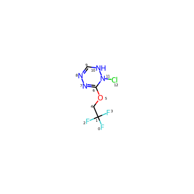 FC(F)(F)COC1=NN=CNN1Cl